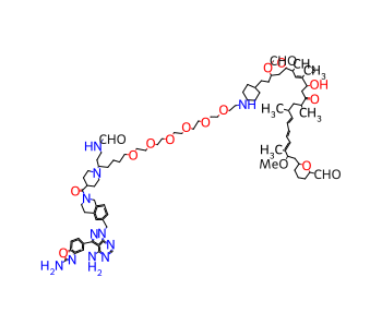 COC(CC1CCCC(C=O)O1)/C(C)=C/C=C/C=C/C(C)CC(C)C(=O)CC(O)/C(C)=C/C(C)C(=O)CC(CCC1CCC(NCCOCCOCCOCCOCCOCCOCCCCC(CCNC=O)N2CCC(C(=O)N3CCc4cc(Cn5nc(-c6ccc7oc(N)nc7c6)c6c(N)ncnc65)ccc4C3)CC2)CC1)OC=O